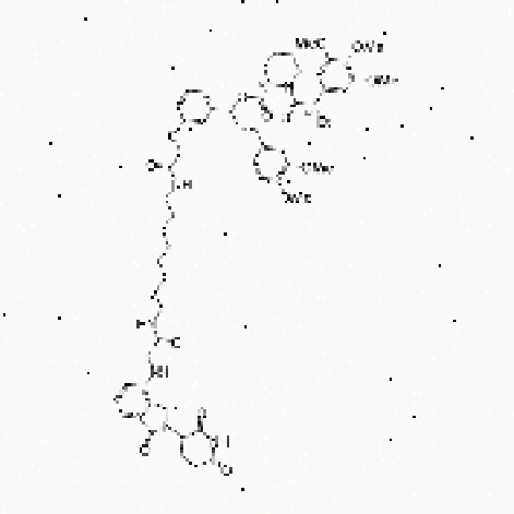 CC[C@H](C(=O)N1CCCC[C@H]1C(=O)OC(CCc1ccc(OC)c(OC)c1)c1cccc(OCC(=O)NCCCCCCCCNC(=O)CNc2cccc3c2CN(C2CCC(=O)NC2=O)C3=O)c1)c1cc(OC)c(OC)c(OC)c1